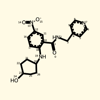 O=C(NCc1ccncc1)c1cc([N+](=O)[O-])ccc1NC1CCC(O)CC1